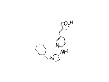 CC(=Cc1ccc(N[C@@H]2CCN(CC3CCCCC3)C2)nc1)C(=O)O